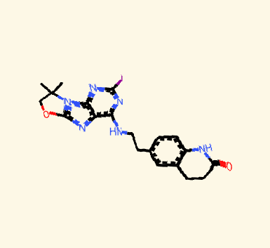 CC1(C)COc2nc3c(NCCc4ccc5c(c4)CCC(=O)N5)nc(I)nc3n21